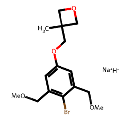 COCc1cc(OCC2(C)COC2)cc(COC)c1Br.[H-].[Na+]